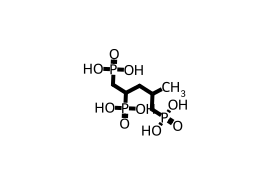 CC(CC(CP(=O)(O)O)P(=O)(O)O)CP(=O)(O)O